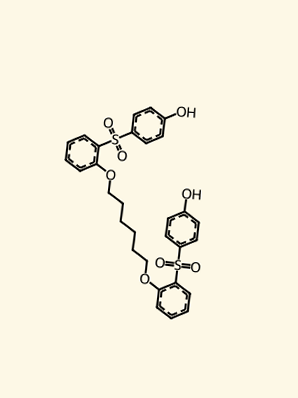 O=S(=O)(c1ccc(O)cc1)c1ccccc1OCCCCCCOc1ccccc1S(=O)(=O)c1ccc(O)cc1